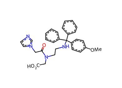 COc1ccc(C(NCCN(CC(=O)O)C(=O)Cn2ccnc2)(c2ccccc2)c2ccccc2)cc1